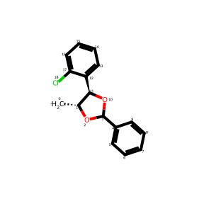 [CH2][C@H]1OC(c2ccccc2)O[C@@H]1c1ccccc1Cl